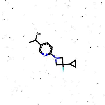 CC(c1ccc(N2CC(F)(C3CC3)C2)nc1)C(C)(C)C